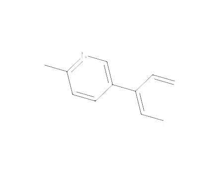 C=C/C(=C\C)c1ccc(C)nc1